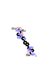 CC[C@H](C)[C@H](N)C(=O)N1CCC[C@H]1c1ncc(-c2ccc3cc(-c4cc5[nH]c([C@@H]6CCCN6C(=O)[C@@H](NC(=O)OC)[C@@H](C)CC)nc5cn4)ccc3c2)[nH]1